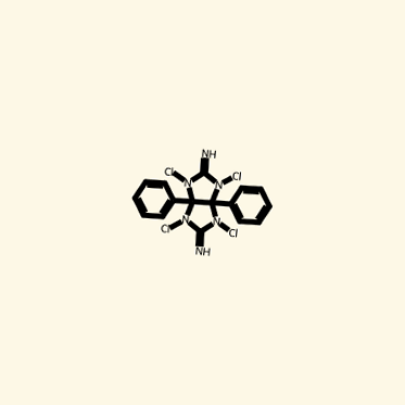 N=C1N(Cl)C2(c3ccccc3)N(Cl)C(=N)N(Cl)C2(c2ccccc2)N1Cl